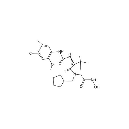 COc1cc(Cl)c(C)cc1NC(=O)N[C@H](C(=O)N(CC(=O)NO)CC1CCCC1)C(C)(C)C